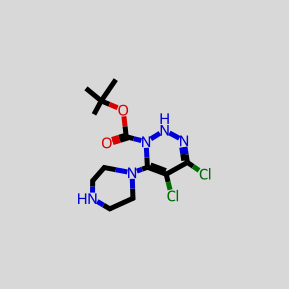 CC(C)(C)OC(=O)N1NN=C(Cl)C(Cl)=C1N1CCNCC1